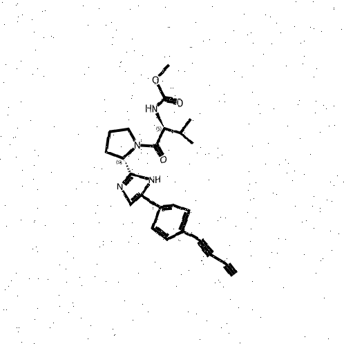 C#CC#Cc1ccc(-c2cnc([C@@H]3CCCN3C(=O)[C@@H](NC(=O)OC)C(C)C)[nH]2)cc1